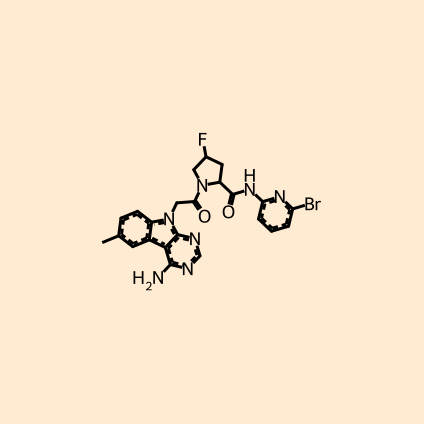 Cc1ccc2c(c1)c1c(N)ncnc1n2CC(=O)N1CC(F)CC1C(=O)Nc1cccc(Br)n1